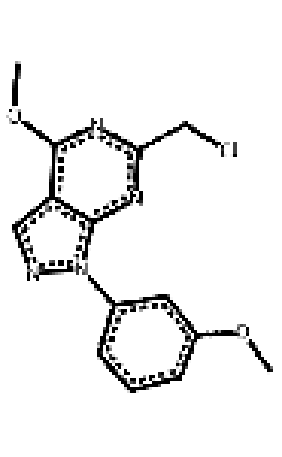 COc1cccc(-n2ncc3c(OC)nc(CCl)nc32)c1